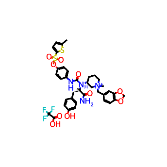 Cc1ccc(S(=O)(=O)Oc2ccc(NC(=O)/[N+](=C3\CCC[N+](C)(Cc4ccc5c(c4)OCO5)C3)[C@@H](Cc3ccc(O)cc3)C(N)=O)cc2)s1.O=C(O)C(F)(F)F